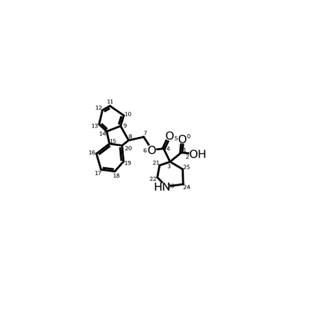 O=C(O)C1(C(=O)OCC2c3ccccc3-c3ccccc32)CCNCC1